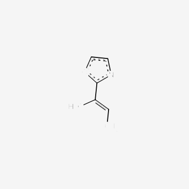 [CH2]C=C(C)c1ncco1